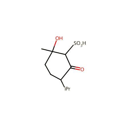 CC(C)C1CCC(C)(O)C(S(=O)(=O)O)C1=O